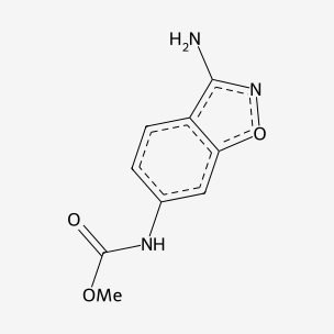 COC(=O)Nc1ccc2c(N)noc2c1